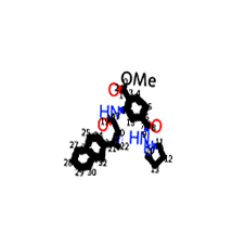 COC(=O)c1ccc(C(=O)NN2CCCC2)cc1NC(=O)/C=C(/C)c1ccc2ccccc2c1